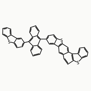 c1ccc2c(c1)sc1ccc(-c3c4ccccc4c(-c4ccc5sc6cc7c(ccc8sc9ccccc9c87)cc6c5c4)c4ccccc34)cc12